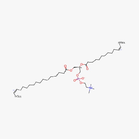 CCCCCC/C=C\CCCCCCCCCC(=O)O[C@H](COC(=O)CCCCCCCCCCCCC/C=C\CCCCCCCC)COP(=O)([O-])OCC[N+](C)(C)C